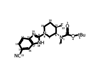 CN(C(=O)OC(C)(C)C)[C@@H]1CN(c2nc3ccc(C#N)cc3[nH]2)CC[C@H]1F